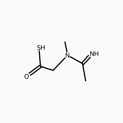 CC(=N)N(C)CC(=O)S